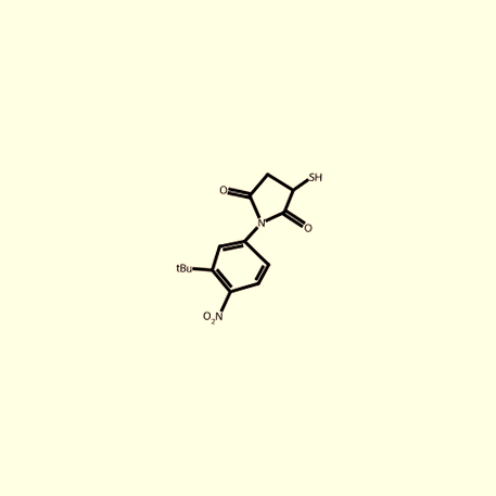 CC(C)(C)c1cc(N2C(=O)CC(S)C2=O)ccc1[N+](=O)[O-]